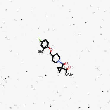 COC(=O)C1(C(=O)N2CCC(COc3ccc(F)cc3C(C)(C)C)CC2)CC1